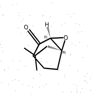 CC(C)C[C@]12CCCC(=O)[C@H]1O2